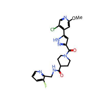 COc1cc(-c2cc(C(=O)N3CCC(C(=O)NCc4ncccc4F)CC3)n[nH]2)c(Cl)cn1